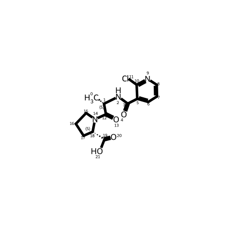 C[C@H](NC(=O)c1cccnc1Cl)C(=O)N1CCC[C@H]1C(=O)O